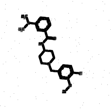 CCOc1cc(CN2CCC(NC(=O)c3cccc(N(C)C)c3)CC2)ccc1Cl